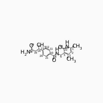 Cc1cc(C)c(CNC(=O)c2ccc(C(C)CC(N)=O)cc2)c(=O)[nH]1